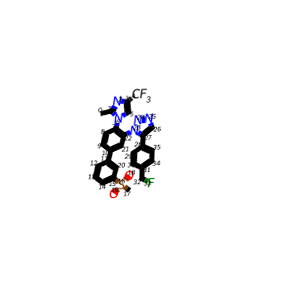 Cc1nc(C(F)(F)F)cn1-c1ccc(-c2cccc(S(C)(=O)=O)c2)cc1-n1nncc1-c1ccc(CF)cc1